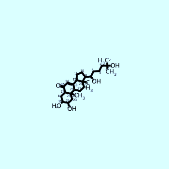 CC(C)(O)CCCC(O)C1CCC2C3=CC(=O)C4CC(O)C(O)CC4(C)C3CCC21C